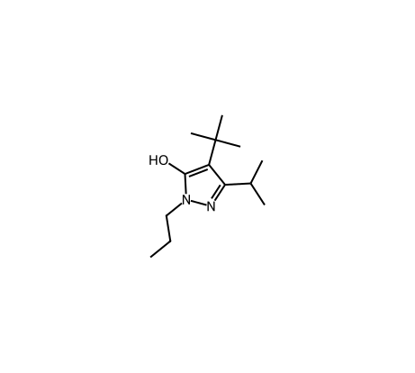 CCCn1nc(C(C)C)c(C(C)(C)C)c1O